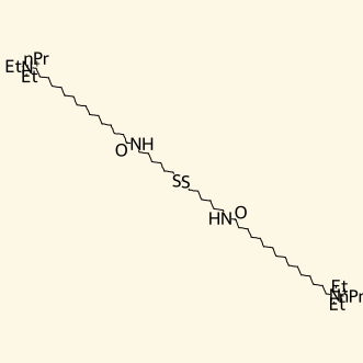 CCC[N+](CC)(CC)CCCCCCCCCCCCCCCC(=O)NCCCCCCSSCCCCCCNC(=O)CCCCCCCCCCCCCCC[N+](CC)(CC)CCC